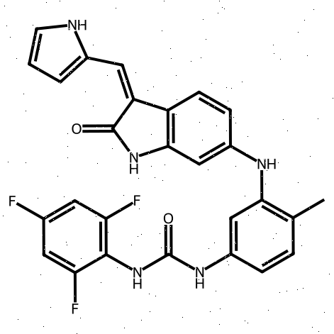 Cc1ccc(NC(=O)Nc2c(F)cc(F)cc2F)cc1Nc1ccc2c(c1)NC(=O)/C2=C\c1ccc[nH]1